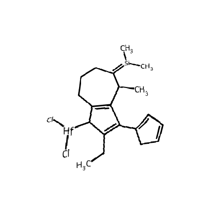 CCC1=C(C2=CC=CC2)C2=C(CCCC(=[Si](C)C)C2C)[CH]1[Hf]([Cl])[Cl]